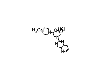 CN1CCN(C2CN(c3ncc4ncccc4n3)CCO2)CC1.Cl.Cl